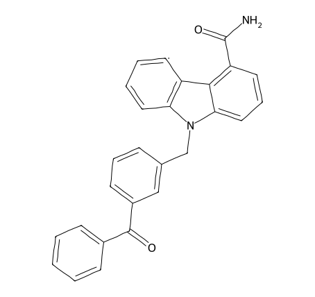 NC(=O)c1cccc2c1c1[c]cccc1n2Cc1cccc(C(=O)c2ccccc2)c1